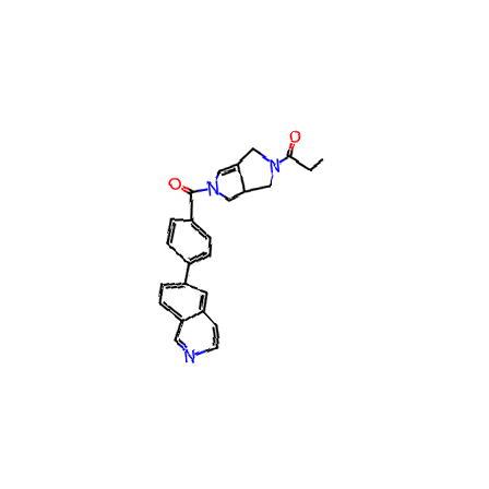 CCC(=O)N1CC2=CN(C(=O)c3ccc(-c4ccc5cnccc5c4)cc3)CC2C1